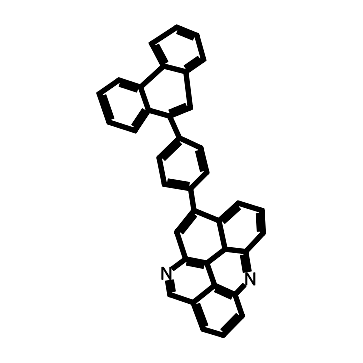 C1=CC2=Nc3cccc4cnc5c(c34)C2C(=C1)C(c1ccc(-c2cc3ccccc3c3ccccc23)cc1)=C5